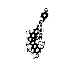 COC1=CC(=O)c2c(O)c3c(c(O)c2C1=O)C(=O)[C@]1(CCc2c1c(O)c1c(=O)[nH]c(/C=N/OCc4ccc(Cl)cc4)cc1c2Cl)C3=O